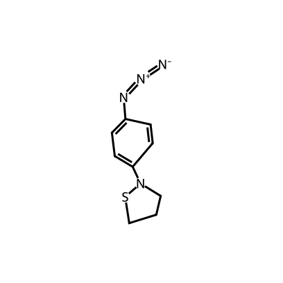 [N-]=[N+]=Nc1ccc(N2CCCS2)cc1